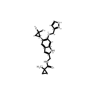 CC1(C(=O)NCc2cc3cc([C@H]4CC4(F)F)c(OCc4ccon4)cc3[nH]2)CC1